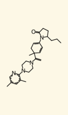 C=C(N1CCN(c2ncc(C)cc2C)CC1)C1(C)C=CC(N2C(=O)CCC2CCC)=CC1